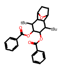 CC(C)(C)C1C(OC(=O)c2ccccc2)C(OC(=O)c2ccccc2)C(C(C)(C)C)C2C3CCC(O3)C21